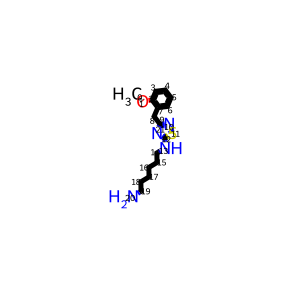 COc1ccccc1Cc1nsc(NCCCCCCN)n1